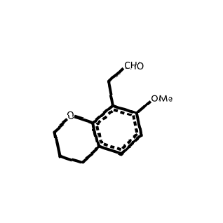 COc1ccc2c(c1CC=O)OCCC2